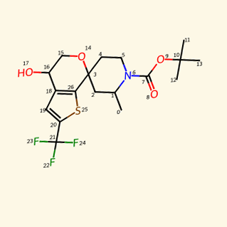 CC1CC2(CCN1C(=O)OC(C)(C)C)OCC(O)c1cc(C(F)(F)F)sc12